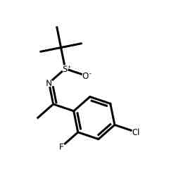 C/C(=N/[S+]([O-])C(C)(C)C)c1ccc(Cl)cc1F